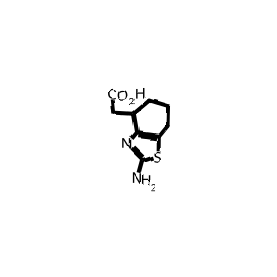 Nc1nc2c(s1)CCCC2CC(=O)O